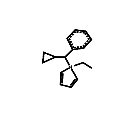 CC[N+]1(C(c2ccccc2)C2CC2)C=CC=C1